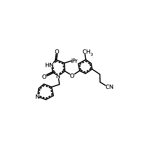 Cc1cc(CCC#N)cc(Oc2c(C(C)C)c(=O)[nH]c(=O)n2Cc2ccncc2)c1